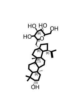 C=C(C)[C@@H]1CC[C@]2(C[C@@H]3OC(CO)[C@@H](O)[C@H](O)C3O)CC[C@]3(C)C(CCC4[C@@]5(C)CC[C@H](O)C(C)(C)C5CC[C@]43C)C12